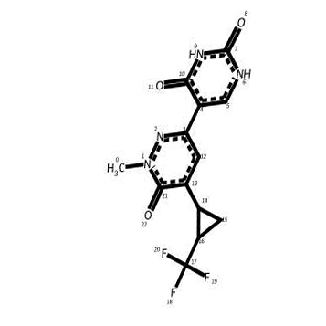 Cn1nc(-c2c[nH]c(=O)[nH]c2=O)cc(C2CC2C(F)(F)F)c1=O